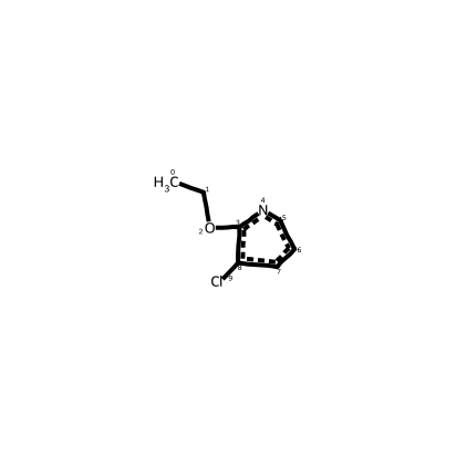 CCOc1n[c]ccc1Cl